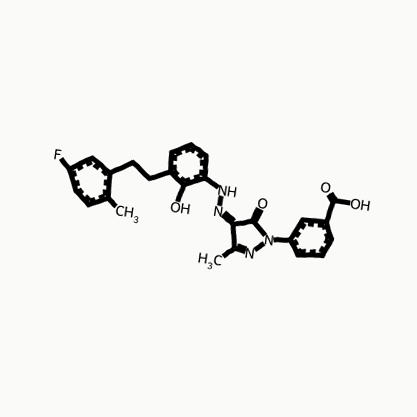 CC1=NN(c2cccc(C(=O)O)c2)C(=O)/C1=N\Nc1cccc(CCc2cc(F)ccc2C)c1O